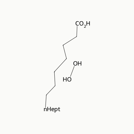 CCCCCCCCCCCCCC(=O)O.OO